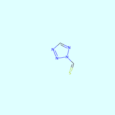 S=Cn1ncnn1